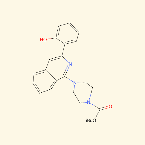 CC(C)COC(=O)N1CCN(c2nc(-c3ccccc3O)cc3ccccc23)CC1